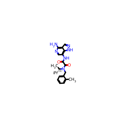 Cc1ccccc1CN(C(=O)C(=O)Nc1cnc(N)c2cn[nH]c12)[C@@H](C)C(C)C